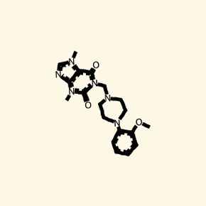 COc1ccccc1N1CCN(Cn2c(=O)c3c(ncn3C)n(C)c2=O)CC1